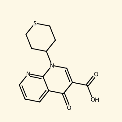 O=C(O)c1cn(C2CCSCC2)c2ncccc2c1=O